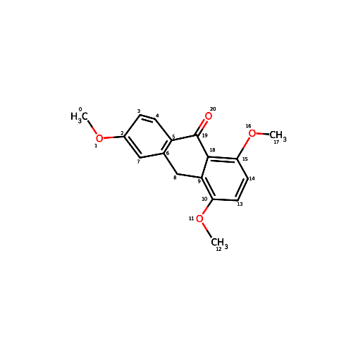 COc1ccc2c(c1)Cc1c(OC)ccc(OC)c1C2=O